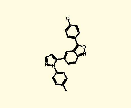 Cc1ccc(-n2nccc2-c2ccc3noc(-c4ccc(Cl)cc4)c3c2)cc1